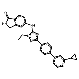 CCn1nc(-c2ccc(-c3ccnc(C4CC4)c3)cc2)nc1Nc1ccc2c(c1)CNC2=O